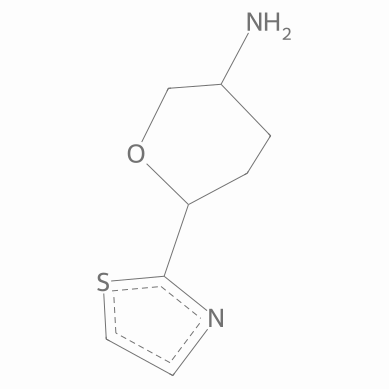 NC1CCC(c2nccs2)OC1